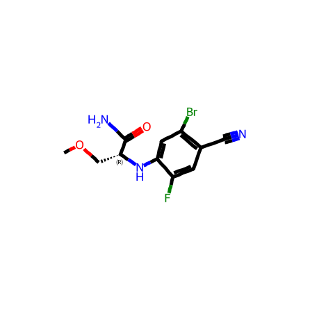 COC[C@@H](Nc1cc(Br)c(C#N)cc1F)C(N)=O